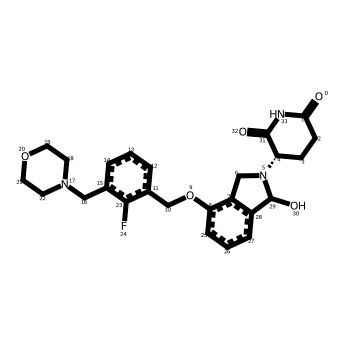 O=C1CC[C@H](N2Cc3c(OCc4cccc(CN5CCOCC5)c4F)cccc3C2O)C(=O)N1